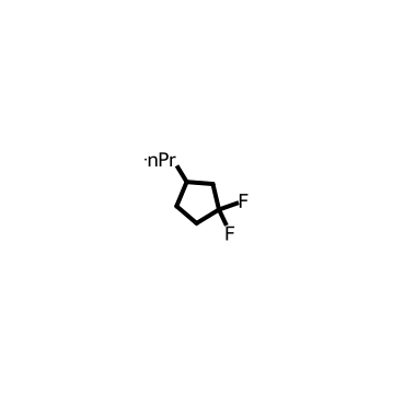 CC[CH]C1CCC(F)(F)C1